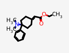 CCOC(=O)C=C1CCC(c2ccccc2)(N(C)C)CC1